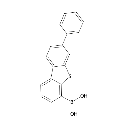 OB(O)c1cccc2c1sc1cc(-c3ccccc3)ccc12